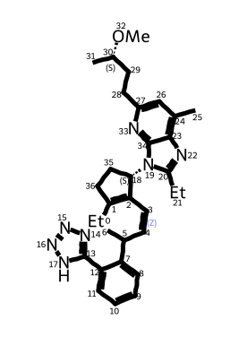 CCC1=C(/C=C\C(C)c2ccccc2-c2nnn[nH]2)[C@@H](n2c(CC)nc3c(C)cc(CC[C@H](C)OC)nc32)CC1